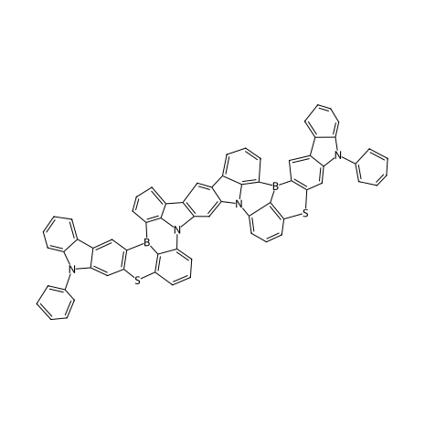 c1ccc(-n2c3ccccc3c3cc4c(cc32)Sc2cccc3c2B4c2cccc4c5cc6c7cccc8c7n(c6cc5n-3c24)-c2cccc3c2B8c2cc4c5ccccc5n(-c5ccccc5)c4cc2S3)cc1